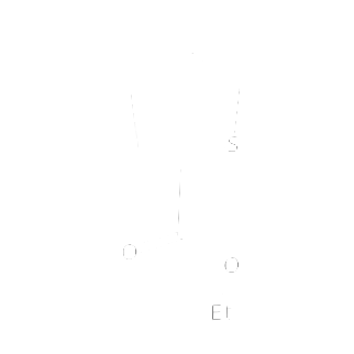 CCOC(=O)C1CCCCS1